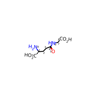 N[C@@H](CCC(=O)NCC(=O)O)C(=O)O